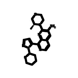 C[C@@H]1COCCN1c1nc2c(-c3ccnn3C3CCCCO3)nccc2cc1N